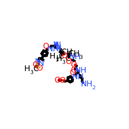 CC(C)(COC(C)(C)CCn1cc(CNC(=O)c2ccc(-c3cnc(S(C)(=O)=O)nc3)cc2)nn1)NC(=O)COCC(=O)N[C@@H](CCCCN)C(=O)Nc1ccc(COC=O)cc1